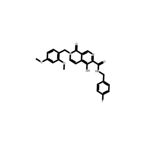 COc1ccc(Cn2ccc3c(O)c(C(=O)NCc4ccc(F)cc4)ncc3c2=O)c(OC)c1